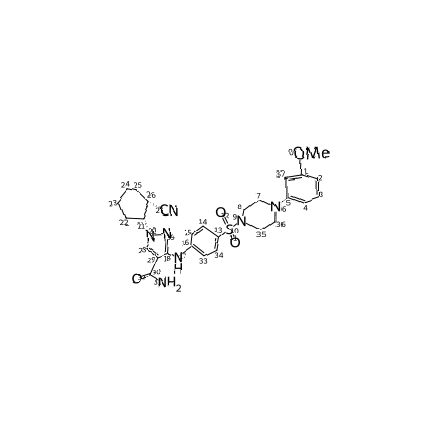 COc1cccc(N2CCN(S(=O)(=O)c3ccc(Nc4nn([C@@H]5CCCC[C@@H]5C#N)cc4C(N)=O)cc3)CC2)c1